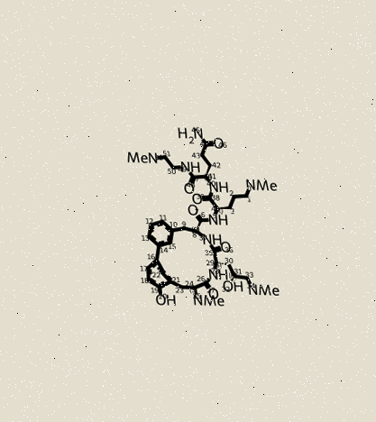 CNCCC[C@@H](NC(=O)[C@@H]1Cc2cccc(c2)-c2ccc(O)c(c2)C[C@H](NC)C(=O)N[C@@H](C[C@@H](O)CNC)C(=O)N1)C(=O)N[C@H](CCC(N)=O)C(=O)NCCNC